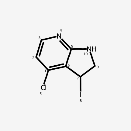 Clc1ccnc2c1C(I)CN2